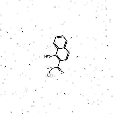 CNC(=O)c1ccc2ccccc2c1O